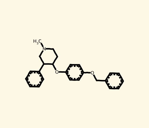 CN1CCC(Oc2ccc(OCc3ccccc3)cc2)C(c2ccccc2)C1